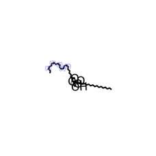 CC/C=C\C/C=C\C/C=C\C/C=C\C/C=C\CCCCCC(=O)O[C@@H](CO)COC(=O)CCCCCCCCCCCCCCC